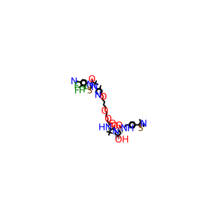 Cc1cc(OCCCCOCCOCC(=O)N[C@H](C(=O)N2C[C@H](O)C[C@H]2C(=O)NCc2ccc(-c3scnc3C)cc2)C(C)(C)C)ncc1N1C(=S)N(c2ccc(C#N)c(C(F)(F)F)c2F)C(=O)C1(C)C